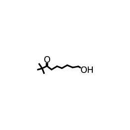 CC(C)(C)C(=O)CCCCCCO